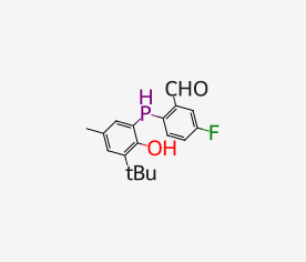 Cc1cc(Pc2ccc(F)cc2C=O)c(O)c(C(C)(C)C)c1